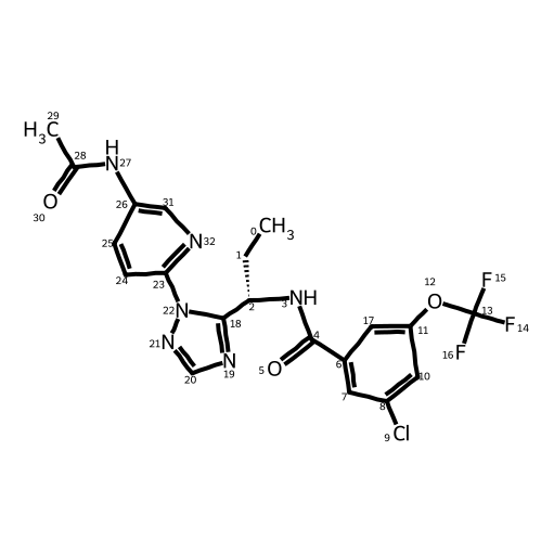 CC[C@H](NC(=O)c1cc(Cl)cc(OC(F)(F)F)c1)c1ncnn1-c1ccc(NC(C)=O)cn1